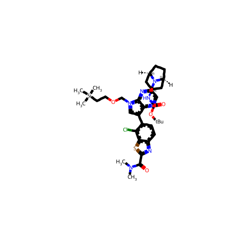 CN(C)C(=O)c1nc2ccc(-c3cn(COCC[Si](C)(C)C)c4nc(N5[C@@H]6CC[C@H]5C[C@@H](NC(=O)OC(C)(C)C)C6)cnc34)c(Cl)c2s1